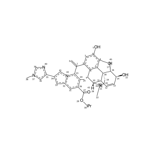 C=C(c1cc(O)c2c3c1C[C@@H]1[C@@H]4C=C[C@H](O)[C@H](O2)[C@]34CCN1C)c1c(C)c(C(=O)OC(C)C)cc2cc(-c3cn(C)cn3)cn12